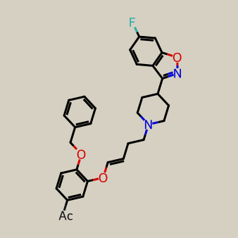 CC(=O)c1ccc(OCc2ccccc2)c(OC=CCCN2CCC(c3noc4cc(F)ccc34)CC2)c1